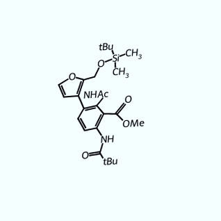 COC(=O)c1c(NC(=O)C(C)(C)C)ccc(-c2ccoc2CO[Si](C)(C)C(C)(C)C)c1NC(C)=O